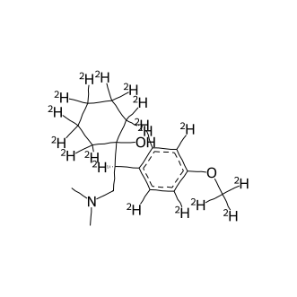 [2H]c1c([2H])c([C@@]([2H])(CN(C)C)C2(O)C([2H])([2H])C([2H])([2H])C([2H])([2H])C([2H])([2H])C2([2H])[2H])c([2H])c([2H])c1OC([2H])([2H])[2H]